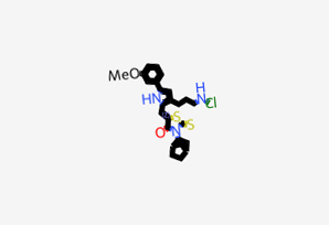 COc1cccc(-c2cc(CCCNCl)c(/C=C3\SC(=S)N(C4CC5CCC4C5)C3=O)[nH]2)c1